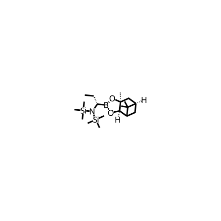 CC[C@H](B1O[C@@H]2C3C[C@H](C[C@]2(C)O1)C3(C)C)N([Si](C)(C)C)[Si](C)(C)C